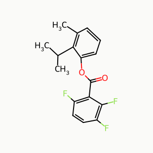 Cc1cccc(OC(=O)c2c(F)ccc(F)c2F)c1C(C)C